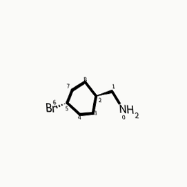 NC[C@H]1CC[C@H](Br)CC1